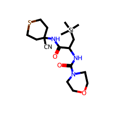 C[Si](C)(C)CC(NC(=O)N1CCOCC1)C(=O)NC1(C#N)CCSCC1